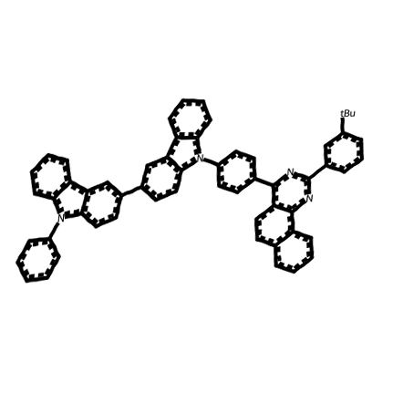 CC(C)(C)c1cccc(-c2nc(-c3ccc(-n4c5ccccc5c5cc(-c6ccc7c(c6)c6ccccc6n7-c6ccccc6)ccc54)cc3)c3ccc4ccccc4c3n2)c1